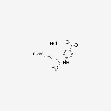 CCCCCCCCCCCCCCC(C)Nc1ccc(C(=O)Cl)cc1.Cl